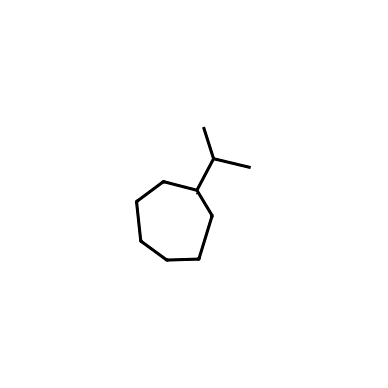 CC(C)[C]1CCCCCC1